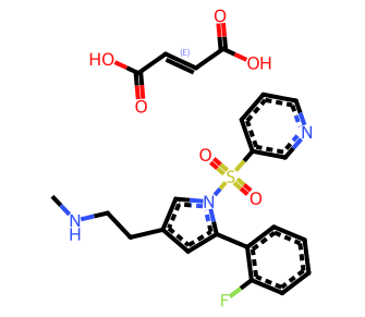 CNCCc1cc(-c2ccccc2F)n(S(=O)(=O)c2cccnc2)c1.O=C(O)/C=C/C(=O)O